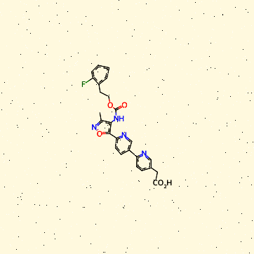 Cc1noc(-c2ccc(-c3ccc(CC(=O)O)cn3)cn2)c1NC(=O)OCCc1ccccc1F